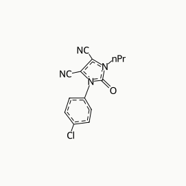 CCCn1c(C#N)c(C#N)n(-c2ccc(Cl)cc2)c1=O